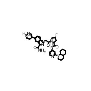 N/C=C\C(=C/N)c1ccc2c(c1)c(C(N)=O)nn2CC(=O)N1CC(F)CC1C(=O)Nc1ccnc(N2CCCC3CCCCC32)c1